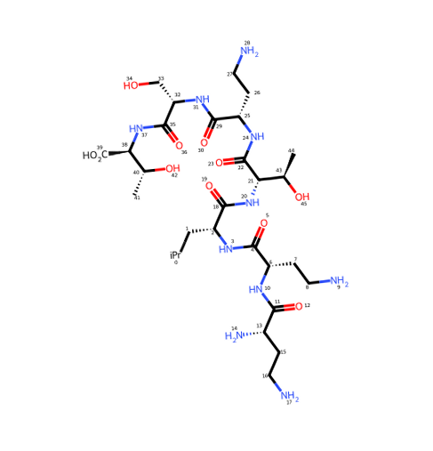 CC(C)C[C@@H](NC(=O)[C@H](CCN)NC(=O)[C@@H](N)CCN)C(=O)N[C@H](C(=O)N[C@@H](CCN)C(=O)N[C@@H](CO)C(=O)N[C@H](C(=O)O)[C@@H](C)O)[C@@H](C)O